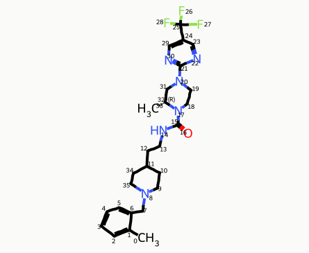 Cc1ccccc1CN1CCC(CCNC(=O)N2CCN(c3ncc(C(F)(F)F)cn3)C[C@H]2C)CC1